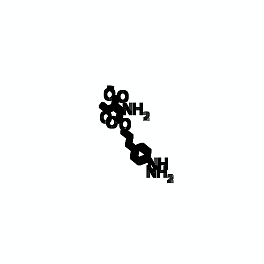 COC(=O)/C(C(C)=O)=C(\N)C(=O)OCCCc1ccc(NN)cc1